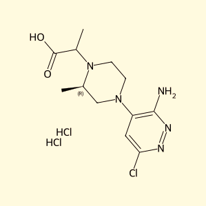 CC(C(=O)O)N1CCN(c2cc(Cl)nnc2N)C[C@H]1C.Cl.Cl